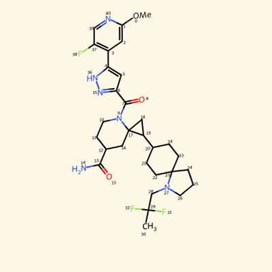 COc1cc(-c2cc(C(=O)N3CCC(C(N)=O)CC34CC4C3CCC4(CCCN4CC(C)(F)F)CC3)n[nH]2)c(F)cn1